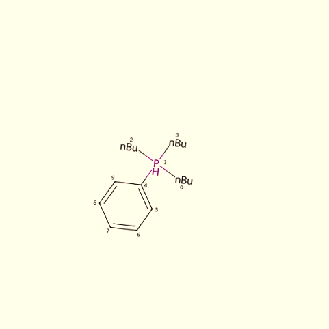 CCCC[PH](CCCC)(CCCC)c1ccccc1